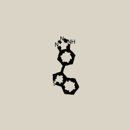 [c]1sc2ccccc2c1-c1ccc2[nH]nnc2c1